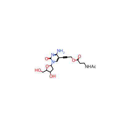 CC(=O)NCCC(=O)OCC#Cc1cn(C2CC(O)C(CO)O2)c(=O)nc1N